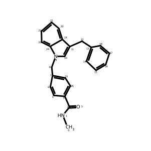 CNC(=O)c1ccc(Cn2cc(Cc3ccccc3)c3ccccc32)cc1